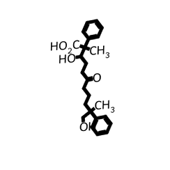 CC(CO)(CCCC(=O)CCC(O)C(C)(C(=O)O)c1ccccc1)c1ccccc1